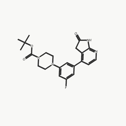 CC(C)(C)OC(=O)N1CCN(c2cc(F)cc(-c3ccnc4c3CC(=O)N4)c2)CC1